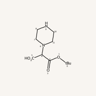 CC(C)(C)OC(=O)C(C(=O)O)N1CCNCC1